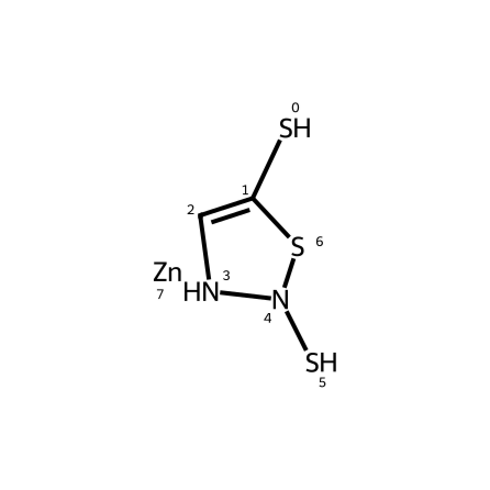 SC1=CNN(S)S1.[Zn]